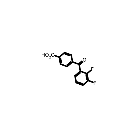 O=C(O)c1ccc(C(=O)c2cccc(F)c2F)cc1